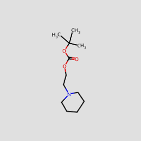 CC(C)(C)OC(=O)OCCN1CCCCC1